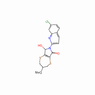 COC1CSC2=C(SC1)C(O)N(c1ccc3ccc(Cl)cc3n1)C2=O